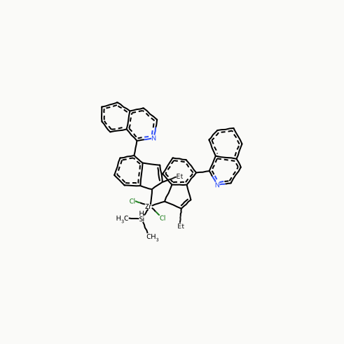 CCC1=Cc2c(-c3nccc4ccccc34)cccc2[CH]1[Zr]([Cl])([Cl])([CH]1C(CC)=Cc2c(-c3nccc4ccccc34)cccc21)[SiH](C)C